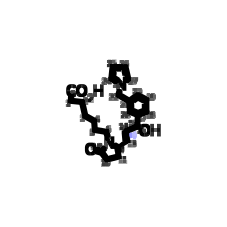 O=C(O)CCCCCCN1C(=O)CC[C@@H]1/C=C/C(O)c1cccc(Cn2cccc2)c1